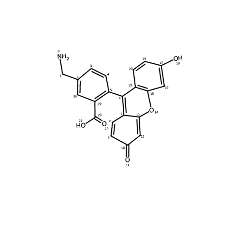 NCc1ccc(-c2c3ccc(=O)cc-3oc3cc(O)ccc23)c(C(=O)O)c1